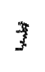 COCCNC(=O)CCCCSc1nc2c(=O)[nH]c(N)nc2n1CCO